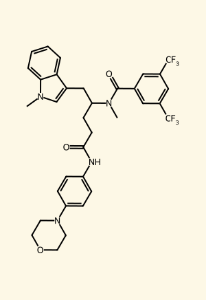 CN(C(=O)c1cc(C(F)(F)F)cc(C(F)(F)F)c1)C(CCC(=O)Nc1ccc(N2CCOCC2)cc1)Cc1cn(C)c2ccccc12